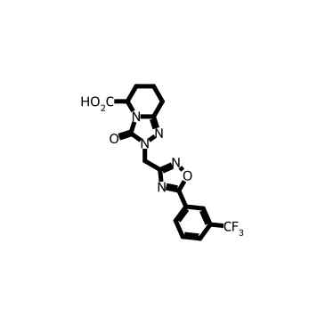 O=C(O)C1CCCc2nn(Cc3noc(-c4cccc(C(F)(F)F)c4)n3)c(=O)n21